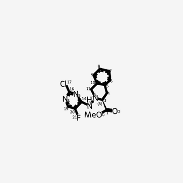 COC(=O)[C@@H]1Cc2ccccc2CN1Nc1nc(Cl)ncc1F